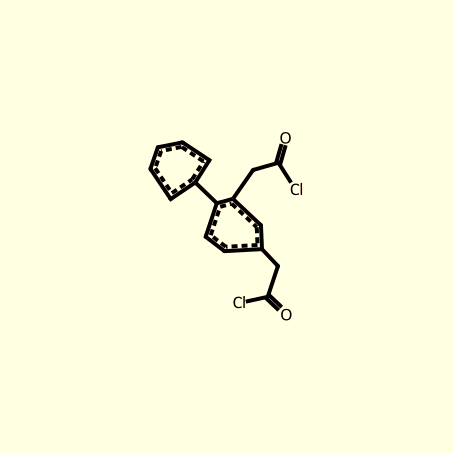 O=C(Cl)Cc1ccc(-c2ccccc2)c(CC(=O)Cl)c1